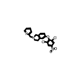 O=[N+]([O-])c1cc(Cl)c(Oc2ccc3c(c2)CCN(Cc2ccccn2)C3)c(Cl)c1